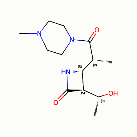 C[C@@H](O)[C@H]1C(=O)N[C@@H]1[C@@H](C)C(=O)N1CCN(C)CC1